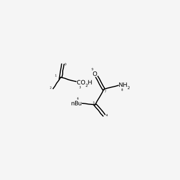 C=C(C)C(=O)O.C=C(CCCC)C(N)=O